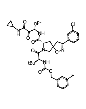 CCC[C@H](NC(=O)[C@@H]1C[C@]2(CC(c3cccc(Cl)c3)=NO2)CN1C(=O)[C@@H](NC(=O)OCc1cccc(F)c1)C(C)(C)C)C(=O)C(=O)NC1CC1